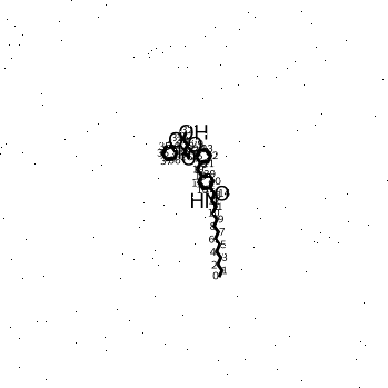 CCCCCCCCCCCCNC(=O)c1ccc(Cc2ccccc2ON(C(=O)C(=O)O)c2ccccc2)cc1